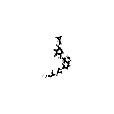 C=CC(=O)NC1CN(c2ccc3ncnc(Nc4ccc(OCC5CC5)c(Cl)c4F)c3n2)C1